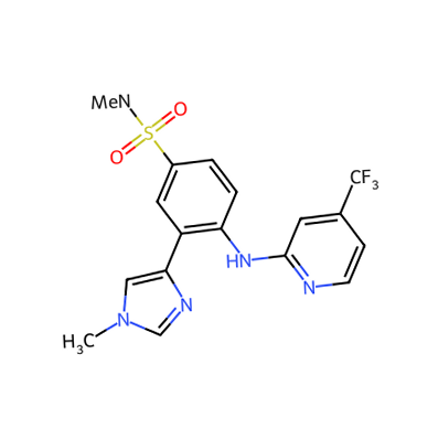 CNS(=O)(=O)c1ccc(Nc2cc(C(F)(F)F)ccn2)c(-c2cn(C)cn2)c1